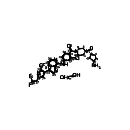 N[C@@H]1CC[C@@H](C(=O)N2CCN(C(=O)c3ccc(Nc4nccn5c(-c6cn(CC(F)F)nc6C(F)(F)F)cnc45)cc3Cl)CC2)C1.O=CO